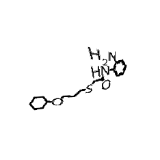 Nc1ccccc1NC(=O)CSCCCOC1CCCCC1